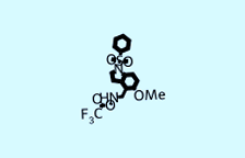 COc1ccc2c(ccn2S(=O)(=O)c2ccccc2)c1CNOC(=O)C(F)(F)F